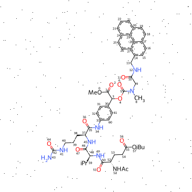 COC(=O)C(OC(=O)N(C)CC(=O)NCc1ccc2ccc3cccc4ccc1c2c34)c1ccc(NC(=O)[C@H](CCCNC(N)=O)NC(=O)[C@@H](NC(=O)[C@H](CCC(=O)OCC(C)C)NC(C)=O)C(C)C)cc1